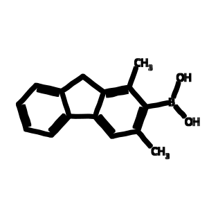 Cc1cc2c(c(C)c1B(O)O)Cc1ccccc1-2